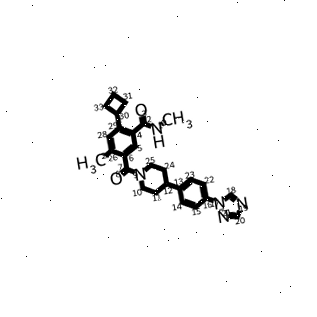 CNC(=O)c1cc(C(=O)N2CCC(c3ccc(-n4cncn4)cc3)CC2)c(C)cc1C1CCC1